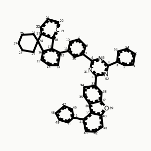 c1ccc(-c2nc(-c3cccc(-c4cccc5c4-c4ccccc4C54CCCCC4)c3)nc(-c3ccc4c(c3)oc3cccc(-c5ccccc5)c34)n2)cc1